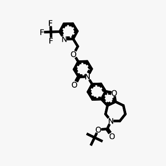 CC(C)(C)OC(=O)N1CCCc2oc3cc(-n4ccc(OCc5cccc(C(F)(F)F)n5)cc4=O)ccc3c2C1